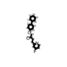 O=C(CCc1cc(F)ccn1)COc1ccc(-c2ccccc2)cc1